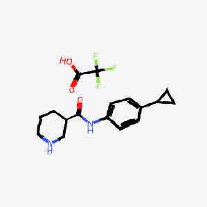 O=C(Nc1ccc(C2CC2)cc1)[C@@H]1CCCNC1.O=C(O)C(F)(F)F